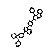 c1ccc(-c2cc(-c3ccc(-c4ccc(-c5ccc6c(c5)c5ccccc5n6-c5ccccc5)c5ccccc45)cc3)nc3ccc4ccccc4c23)cc1